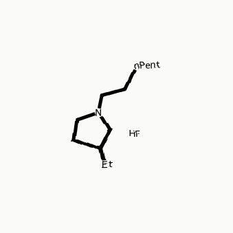 CCCCCCCN1CCC(CC)C1.F